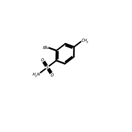 Cc1ccc(S(N)(=O)=O)c(C(C)(C)C)c1